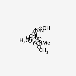 CNC(=O)c1c(-c2ccc(C)cc2)oc2cc(N(C)S(C)(=O)=O)c(-c3ccc4ccn5c6ccc(O)nc6cc5c4n3)cc12